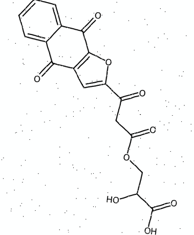 O=C(CC(=O)c1cc2c(o1)C(=O)c1ccccc1C2=O)OCC(O)C(=O)O